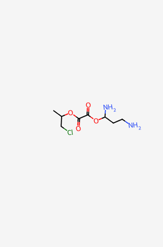 CC(CCl)OC(=O)C(=O)OC(N)CCN